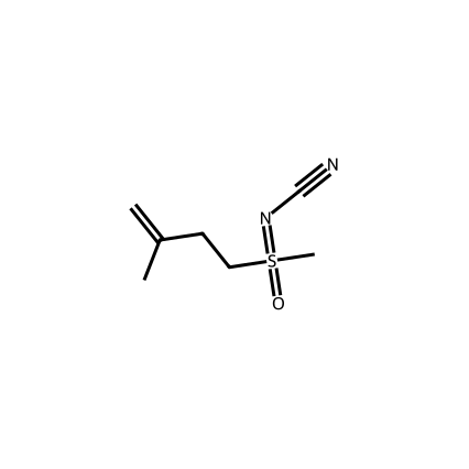 C=C(C)CCS(C)(=O)=NC#N